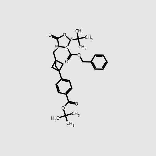 CC(C)(C)OC(=O)c1ccc(C23CC(C[C@H]4C(=O)O[C@@H](C(C)(C)C)N4C(=O)OCc4ccccc4)(C2)C3)cc1